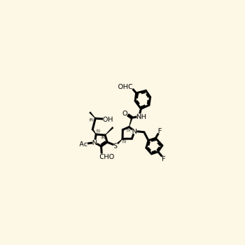 CC(=O)N1C(C=O)=C(S[C@H]2C[C@@H](C(=O)Nc3cccc(C=O)c3)N(Cc3ccc(F)cc3F)C2)[C@H](C)[C@@H]1C[C@@H](C)O